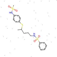 CC(CCCNS(=O)(=O)c1ccccc1)Sc1ccc(NS(C)(=O)=O)cc1